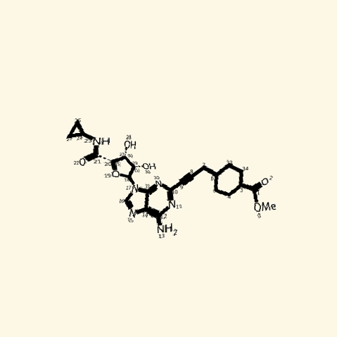 COC(=O)C1CCC(CC#Cc2nc(N)c3ncn(C4O[C@H](C(=O)NC5CC5)[C@H](O)[C@@H]4O)c3n2)CC1